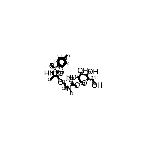 Cc1ccc(S(=O)(=O)NC(C)C(=O)OCCN(C)C(=O)OC2O[C@H](CO)[C@@H](O)[C@H](O)[C@H]2O)cc1